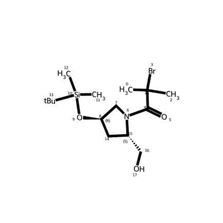 CC(C)(Br)C(=O)N1C[C@H](O[Si](C)(C)C(C)(C)C)C[C@H]1CO